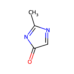 CC1=NC(=O)C=N1